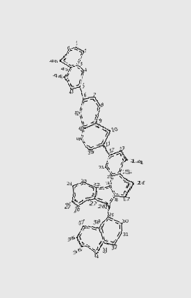 c1ccc2cc(-c3ccc4cc(-c5ccc6ccc7c(c6c5)c5ccccc5n7-c5cccc6ccccc56)ccc4c3)ccc2c1